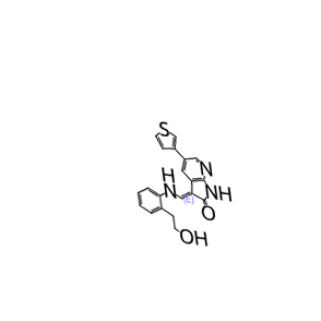 O=C1Nc2ncc(-c3ccsc3)cc2/C1=C\Nc1ccccc1CCO